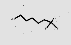 FC(F)(F)C[CH]CCCCl